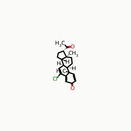 CC(=O)[C@H]1CC[C@H]2[C@@H]3C=C(Cl)C4=CC(=O)C=C[C@@]4(C)[C@@H]3CC[C@]12C